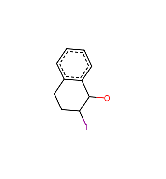 [O]C1c2ccccc2CCC1I